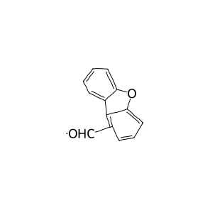 O=[C]c1cccc2oc3ccccc3c12